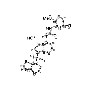 Cl.[2H]C([2H])(c1ccnc2[nH]ccc12)n1ccc2c(NC(=O)Nc3cc(Cl)ccc3OC)cccc21